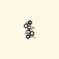 CC12CCCC/C(=C3\C(=O)C(C4=C5Nc6ccccc6C5(C)CCCC4)=C3O)C1=Nc1ccccc12